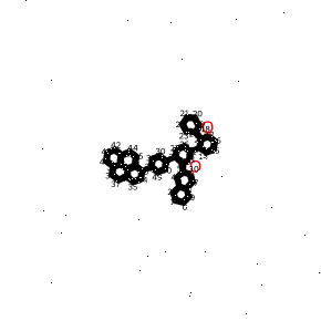 c1ccc2cc3c(cc2c1)oc1c(-c2cccc4oc5ccccc5c24)ccc(-c2ccc(-c4ccc5ccc6cccc7ccc4c5c67)cc2)c13